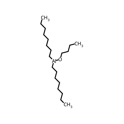 CCCCCCC[CH2][Al]([CH2]CCCCCCC)[O]CCCC